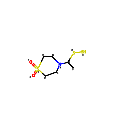 CC(SS)N1CCS(=O)(=O)CC1